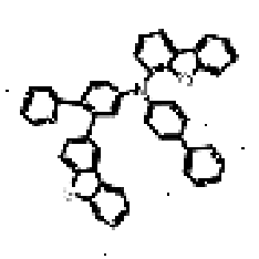 c1ccc(-c2ccc(N(c3ccc(-c4ccccc4)c(-c4ccc5sc6ccccc6c5c4)c3)c3cccc4c3oc3ccccc34)cc2)cc1